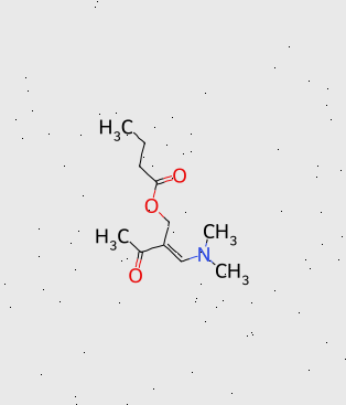 CCCC(=O)OC/C(=C\N(C)C)C(C)=O